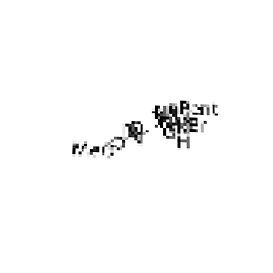 CCCCCn1c2nc(Br)[nH]c2c(=O)n2c(CCCc3nc(-c4ccc(OC)cc4)no3)nnc12